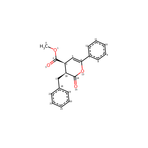 COC(=O)[C@H]1C=C(c2ccccc2)OC(=O)[C@H]1Cc1ccccc1